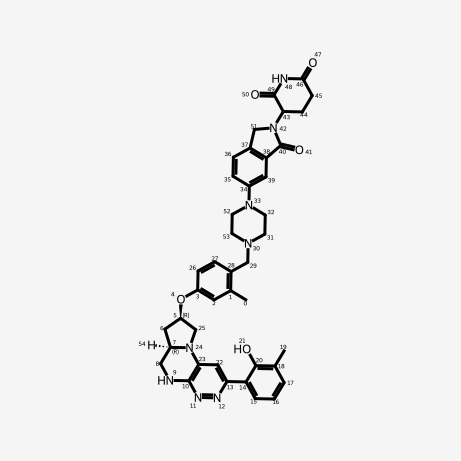 Cc1cc(O[C@@H]2C[C@@H]3CNc4nnc(-c5cccc(C)c5O)cc4N3C2)ccc1CN1CCN(c2ccc3c(c2)C(=O)N(C2CCC(=O)NC2=O)C3)CC1